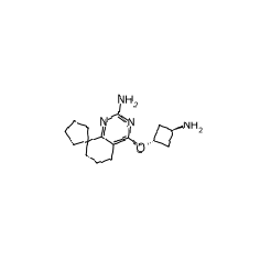 Nc1nc(O[C@H]2C[C@H](N)C2)c2c(n1)C1(CCCC1)CCC2